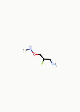 CCNOCC(F)CN